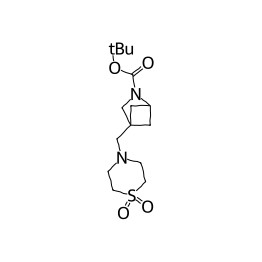 CC(C)(C)OC(=O)N1CC2(CN3CCS(=O)(=O)CC3)CC1C2